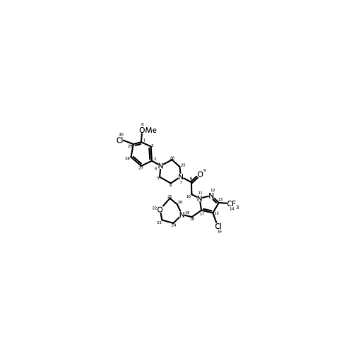 COc1cc(N2CCN(C(=O)Cn3nc(C(F)(F)F)c(Cl)c3CN3CCOCC3)CC2)ccc1Cl